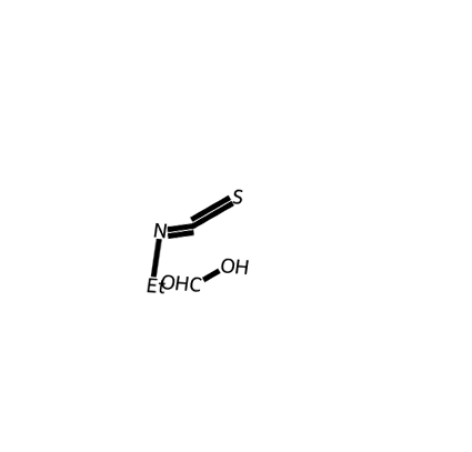 CCN=C=S.O=CO